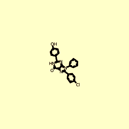 O=c1[nH]c(-c2ccc(O)cc2)nc2c1nc(-c1ccc(Cl)cc1)n2-c1ccccc1